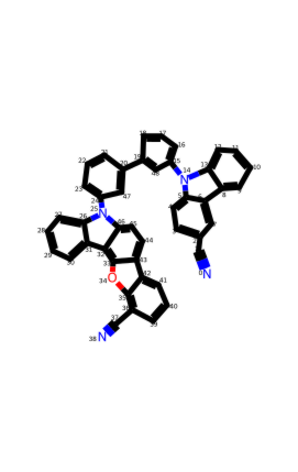 N#Cc1ccc2c(c1)c1ccccc1n2-c1cccc(-c2cccc(-n3c4ccccc4c4c5oc6c(C#N)cccc6c5ccc43)c2)c1